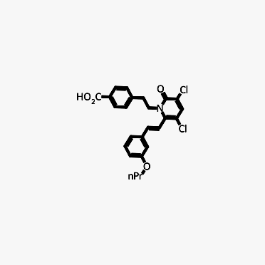 CCCOc1cccc(/C=C/c2c(Cl)cc(Cl)c(=O)n2CCc2ccc(C(=O)O)cc2)c1